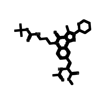 COC(=O)C(=Cc1ccc2c(c1)c1nn(C3CCCCO3)c(C)c1c(=O)n2CCCNC(=O)OC(C)(C)C)NC(C)=O